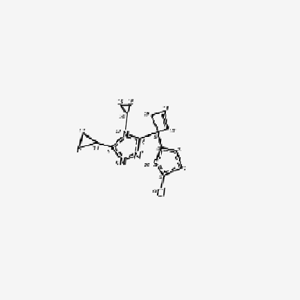 Clc1ccc(C2(c3nnc(C4CC4)n3C3CC3)C=CC2)s1